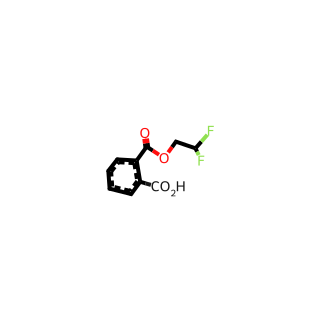 O=C(O)c1ccccc1C(=O)OCC(F)F